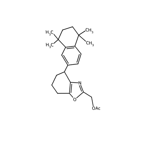 CC(=O)OCc1nc2c(o1)CCCC2c1ccc2c(c1)C(C)(C)CCC2(C)C